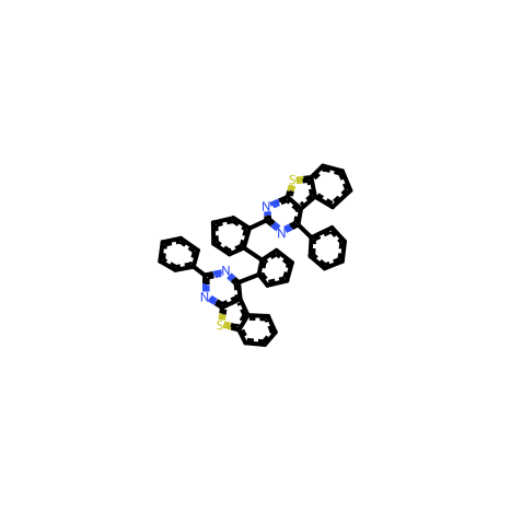 c1ccc(-c2nc(-c3ccccc3-c3ccccc3-c3nc(-c4ccccc4)c4c(n3)sc3ccccc34)c3c(n2)sc2ccccc23)cc1